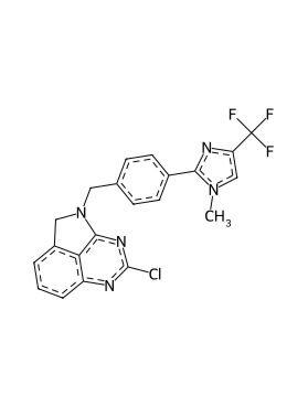 Cn1cc(C(F)(F)F)nc1-c1ccc(CN2Cc3cccc4nc(Cl)nc2c34)cc1